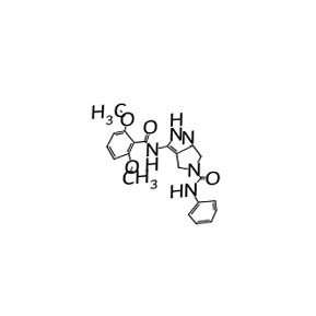 COc1cccc(OC)c1C(=O)Nc1[nH]nc2c1CN(C(=O)Nc1ccccc1)C2